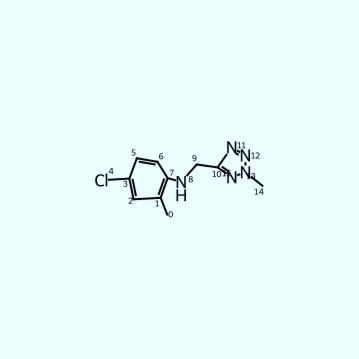 Cc1cc(Cl)ccc1NCc1nnn(C)n1